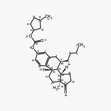 CCCC[C@@H]1Cc2cc(OC(=O)OC3CCN(C)C3)ccc2[C@H]2CC[C@]3(C)C(=O)CC[C@H]3C12